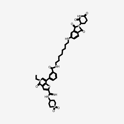 CCn1cc(-c2cccc(C(=O)NCCCCCCCCNc3ccc4c(c3)C(=O)N(C3CCC(=O)NC3=O)C4=O)c2)c2sc(C(=N)NC3CCS(=O)(=O)CC3)cc2c1=O